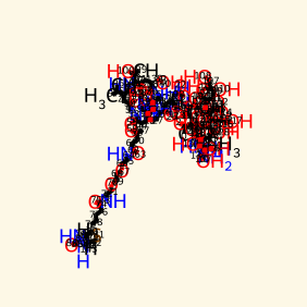 CC(=O)[C@H](CCCNC(=N)N)CC(=O)[C@@H](NC(=O)[C@H](CC(=O)O)CC(=O)C1CCCN1C(=O)[C@H](C)NC(=O)[C@H](CO)CC(=O)[C@@H](NC(=O)C(CC(=O)CNC(=O)[C@@H](CC(=O)CCC(=O)NCCOCCOCCNC(=O)CCCC[C@@H]1SC[C@@H]2NC(=O)N[C@@H]21)Cc1cnc[nH]1)C(C)C)C(C)O)C(C)O[C@H]1OC(CO)[C@H](O)[C@H](O[C@@H]2OC(CO)[C@H](O)[C@H](O[C@]3(C(=O)O)C[C@@H](O)[C@@H](C)C([C@H](O)[C@H](O)CO)O3)C2O)C1C